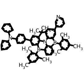 Cc1cc(C)c(B2c3cccc4c3N3c5c2cc(-c2ccc(N(c6ccccc6)c6ccccc6)cc2)cc5C(C)(C)c2cc(-c5cccnc5)cc(c23)B4c2c(C)cc(C)cc2C)c(C)c1